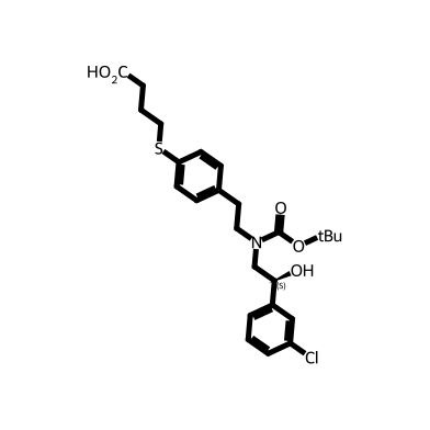 CC(C)(C)OC(=O)N(CCc1ccc(SCCCC(=O)O)cc1)C[C@@H](O)c1cccc(Cl)c1